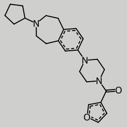 O=C(c1ccoc1)N1CCN(c2ccc3c(c2)CCN(C2CCCC2)CC3)CC1